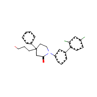 O=C1CC(CCCO)(c2ccccc2)CCN1c1cccc(-c2ccc(F)cc2F)c1